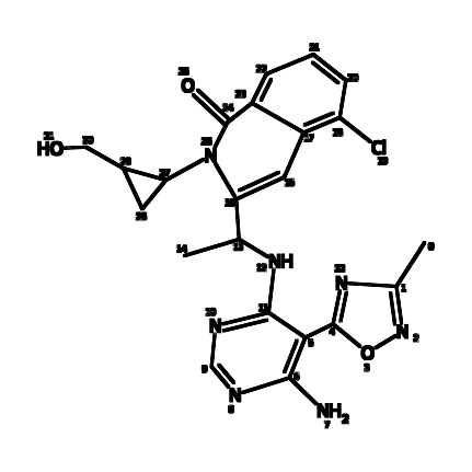 Cc1noc(-c2c(N)ncnc2NC(C)c2cc3c(Cl)cccc3c(=O)n2C2CC2CO)n1